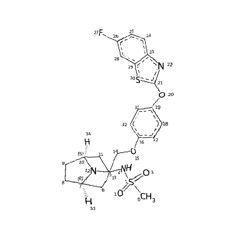 CS(=O)(=O)NC1C[C@H]2CC[C@@H](C1)N2CCOc1ccc(Oc2nc3ccc(F)cc3s2)cc1